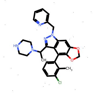 Cc1c(Cl)cccc1-c1c2c(cc3c1c(C(C)N1CCNCC1)nn3Cc1ccccn1)OCO2